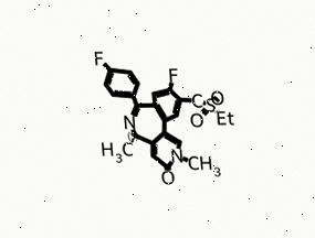 CCS(=O)(=O)Cc1cc2c(cc1F)C(c1ccc(F)cc1)=N[C@@H](C)c1cc(=O)n(C)cc1-2